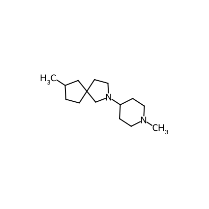 CC1CCC2(CCN(C3CCN(C)CC3)C2)C1